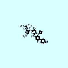 Cc1cc(Nc2ncc(Cl)c(Nc3cn(C)nc3S(=O)(=O)C(C)C)n2)c(OC2CCC2)cc1C1CCNCC1